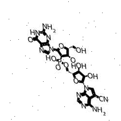 N#Cc1cn([C@@H]2O[C@H](COP(=O)(O)[C@H]3C(n4cnc5c(=O)[nH]c(N)nc54)O[C@H](CO)[C@H]3O)[C@@H](O)[C@H]2O)c2ncnc(N)c12